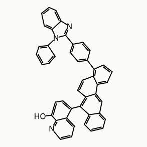 Oc1ccc(-c2c3ccccc3cc3c2ccc2c(-c4ccc(-c5nc6ccccc6n5-c5ccccc5)cc4)cccc23)c2cccnc12